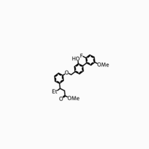 CCC(CC(=O)OC)c1cccc(OCc2ccc(-c3cc(OC)ccc3F)c(O)c2)c1